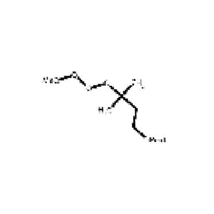 CCCCCCCC(C)(C)OOOOC